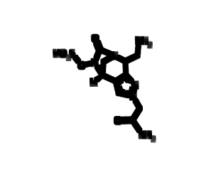 NCC1c2nn(CC(N)=O)cc2[C@H]2CN1C(=O)N2OS(=O)(=O)O